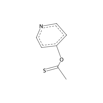 CC(=S)Oc1ccncc1